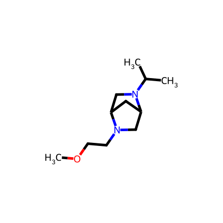 COCCN1CC2CC1CN2C(C)C